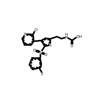 O=C(O)NCCc1cc(-c2cccnc2Cl)c(S(=O)(=O)c2cccc(F)c2)s1